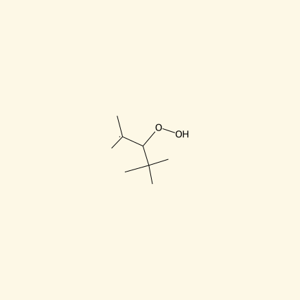 C[C](C)C(OO)C(C)(C)C